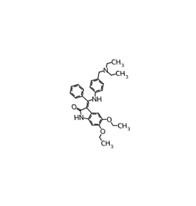 CCOc1cc2c(cc1OCC)C(=C(Nc1ccc(CN(CC)CC)cc1)c1ccccc1)C(=O)N2